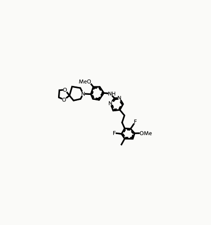 COc1cc(Nc2ncc(CCc3c(F)c(C)cc(OC)c3F)cn2)ccc1N1CCC2(CC1)OCCO2